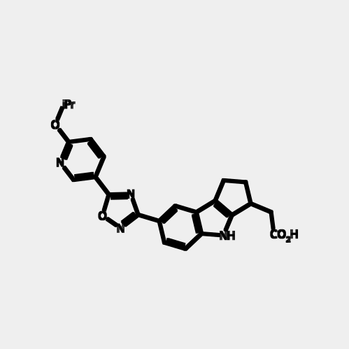 CC(C)Oc1ccc(-c2nc(-c3ccc4[nH]c5c(c4c3)CCC5CC(=O)O)no2)cn1